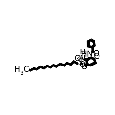 CCCCCCCCCCCCCCCCS(=O)(=O)NC1=C(NC(=O)c2ccccc2)C(=O)C=CC1=O